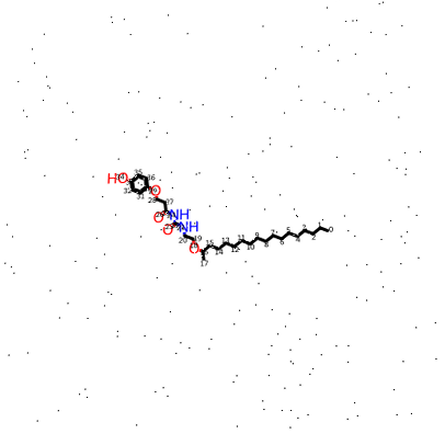 CCCCCCCCCCCCCCCCC(C)OCCNC(=O)NC(=O)CCOc1ccc(O)cc1